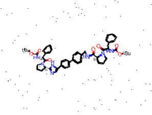 CC(C)(C)OC(=O)N[C@@H](C(=O)N1CCC[C@H]1C(=O)NCc1ccc(-c2ccc(-c3cnc([C@@H]4CCCN4C(=O)[C@H](NC(=O)OC(C)(C)C)c4ccccc4)[nH]3)cc2)cc1)c1ccccc1